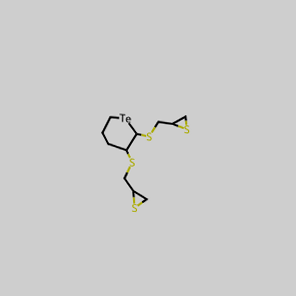 C1C[Te]C(SCC2CS2)C(SCC2CS2)C1